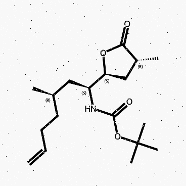 C=CCC[C@@H](C)C[C@H](NC(=O)OC(C)(C)C)[C@@H]1C[C@@H](C)C(=O)O1